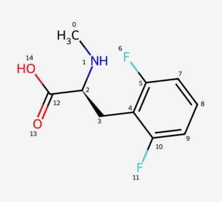 CN[C@@H](Cc1c(F)cccc1F)C(=O)O